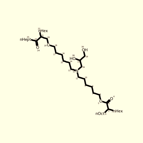 CCCCCCCCC(CCCCCC)C(=O)OCCCCCCN(CCCCCCOCC(CCCCCC)C(=O)CCCCCCC)CC(O)CO